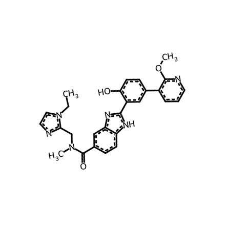 CCn1ccnc1CN(C)C(=O)c1ccc2[nH]c(-c3cc(-c4cccnc4OC)ccc3O)nc2c1